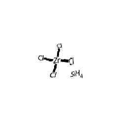 [Cl][Zr]([Cl])([Cl])[Cl].[SiH4]